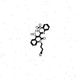 N#CCCCn1c(=O)c(C2=Nc3ccccc3S(=O)(=O)N2)c(O)c2ccccc21